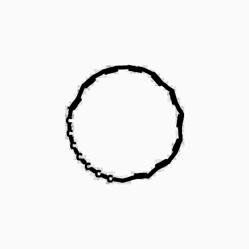 [C]1=C/C=C\C=C/C=C\C=C\C=C\C=C\C=C/C=C/C=C/CCCCCCCC/1